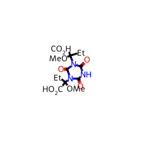 CCC(OC)(C(=O)O)n1c(=O)[nH]c(=O)n(C(CC)(OC)C(=O)O)c1=O